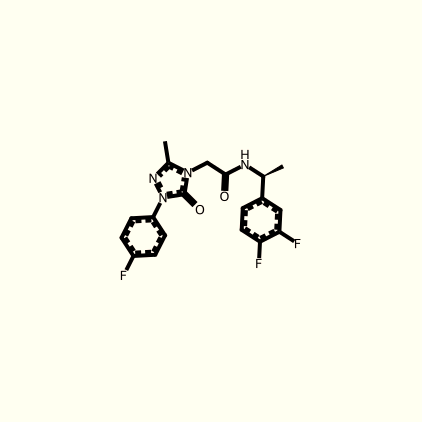 Cc1nn(-c2ccc(F)cc2)c(=O)n1CC(=O)N[C@@H](C)c1ccc(F)c(F)c1